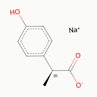 C[C@H](C(=O)[O-])c1ccc(O)cc1.[Na+]